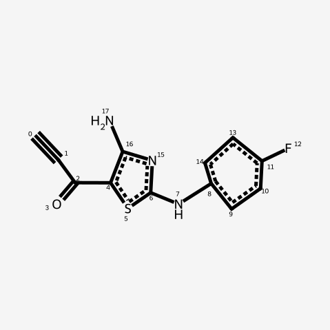 C#CC(=O)c1sc(Nc2ccc(F)cc2)nc1N